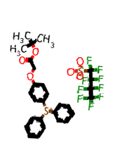 CC(C)(C)OC(=O)COc1ccc([S+](c2ccccc2)c2ccccc2)cc1.O=S(=O)([O-])C(F)(F)C(F)(F)C(F)(F)C(F)(F)F